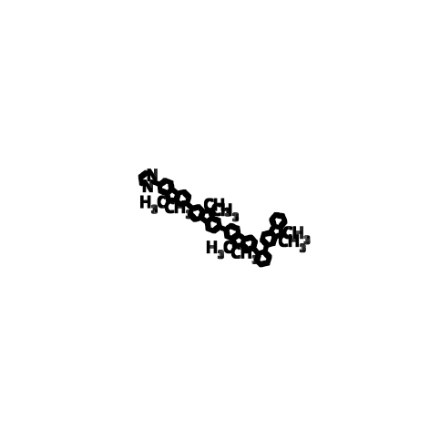 CC1(C)c2cc(-c3ccc4c(c3)C(C)(C)c3cc(-c5ncccn5)ccc3-4)ccc2-c2ccc(-c3ccc4c(c3)C(C)(C)c3cc(-c5ccccc5-c5ccc6c(c5)C(C)(C)c5ccccc5-6)ccc3-4)cc21